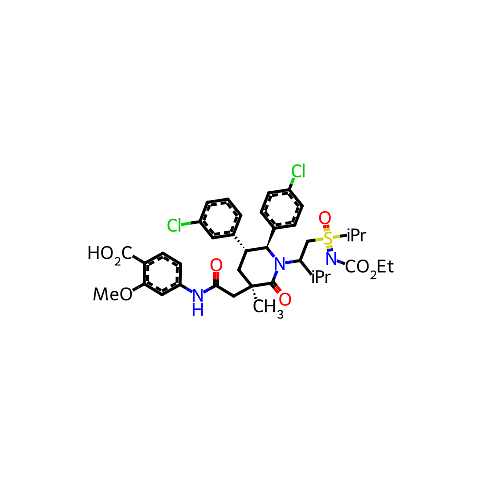 CCOC(=O)N=S(=O)(CC(C(C)C)N1C(=O)[C@@](C)(CC(=O)Nc2ccc(C(=O)O)c(OC)c2)C[C@H](c2cccc(Cl)c2)[C@H]1c1ccc(Cl)cc1)C(C)C